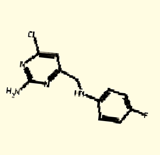 Nc1nc(Cl)cc(CNc2ccc(F)cc2)n1